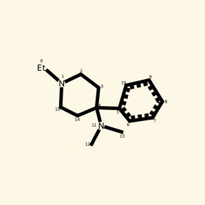 [CH2]CN1CCC(c2ccccc2)(N(C)C)CC1